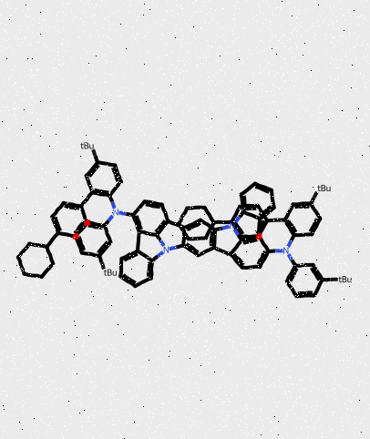 CC(C)(C)c1cccc(N(c2ccc(C(C)(C)C)cc2-c2ccc(C3CCCCC3)cc2)c2ccc3c4cc5c(cc4n4c6ccccc6c2c34)c2ccc(N(c3cccc(C(C)(C)C)c3)c3ccc(C(C)(C)C)cc3-c3ccc(C4CCCCC4)cc3)c3c4ccccc4n5c23)c1